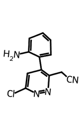 N#CCc1nnc(Cl)cc1-c1ccccc1N